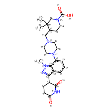 Cn1nc(C2CCC(=O)NC2=O)c2cccc(N3CCN(C[C@@H]4CCN(C(=O)O)CC4(C)C)CC3)c21